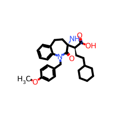 COc1ccc(CN2C(=O)[C@](N)([C@H](CCC3CCCCC3)C(=O)O)CCc3ccccc32)cc1